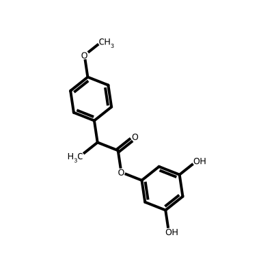 COc1ccc(C(C)C(=O)Oc2cc(O)cc(O)c2)cc1